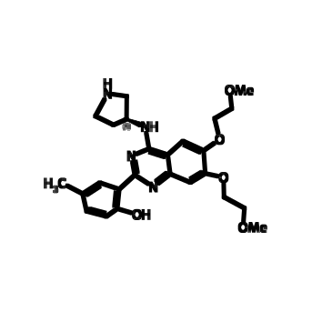 COCCOc1cc2nc(-c3cc(C)ccc3O)nc(N[C@H]3CCNC3)c2cc1OCCOC